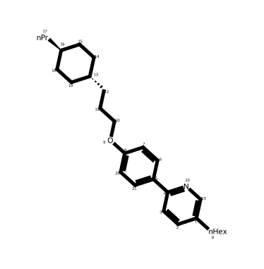 CCCCCCc1ccc(-c2ccc(OCCC[C@H]3CC[C@H](CCC)CC3)cc2)nc1